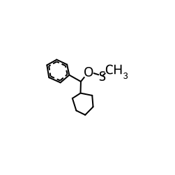 CSOC(c1ccccc1)C1CCCCC1